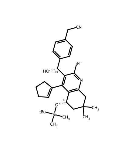 CC(C)c1nc2c(c(C3=CCCC3)c1[C@H](O)c1ccc(CC#N)cc1)[C@@H](O[Si](C)(C)C(C)(C)C)CC(C)(C)C2